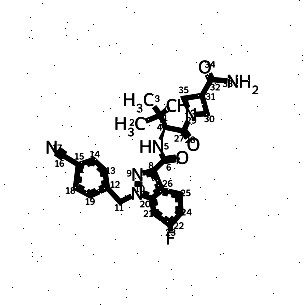 CC(C)(C)[C@H](NC(=O)c1nn(Cc2ccc(C#N)cc2)c2cc(F)ccc12)C(=O)N1CC(C(N)=O)C1